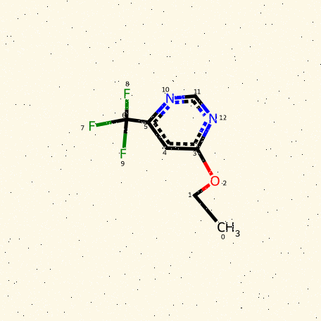 CCOc1[c]c(C(F)(F)F)ncn1